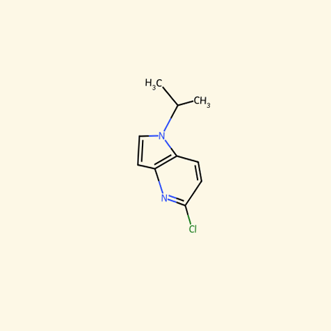 CC(C)n1ccc2nc(Cl)ccc21